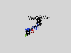 COc1cc2c(cc1OC)CN(CCNCC(=O)Nc1ccc(F)cc1)CC2